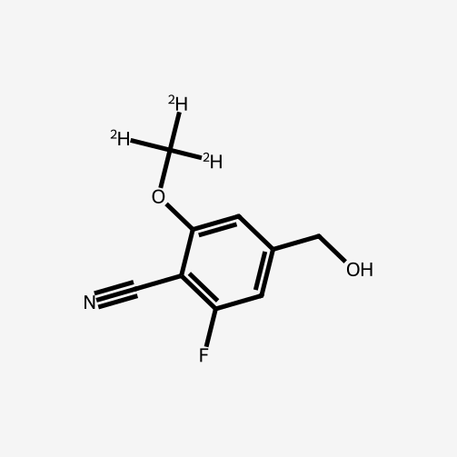 [2H]C([2H])([2H])Oc1cc(CO)cc(F)c1C#N